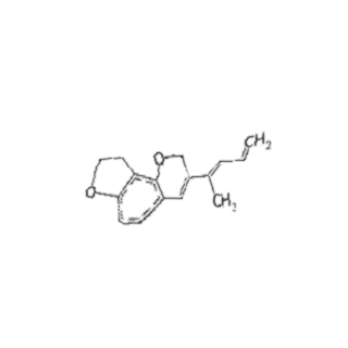 C=C/C=C(\C)C1=Cc2ccc3c(c2OC1)CCCO3